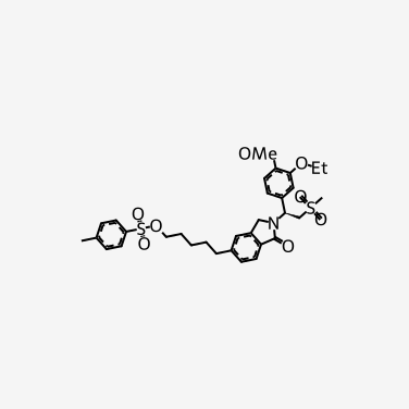 CCOc1cc([C@@H](CS(C)(=O)=O)N2Cc3cc(CCCCCOS(=O)(=O)c4ccc(C)cc4)ccc3C2=O)ccc1OC